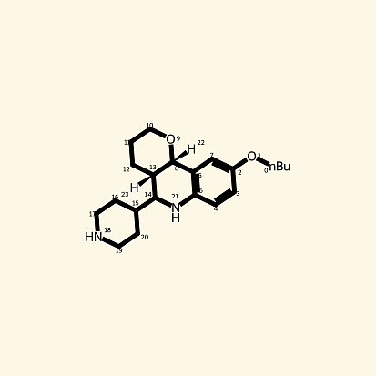 CCCCOc1ccc2c(c1)[C@H]1OCCC[C@H]1C(C1CCNCC1)N2